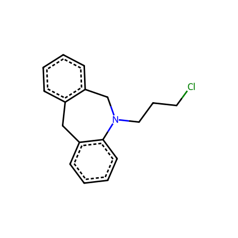 ClCCCN1Cc2ccccc2Cc2ccccc21